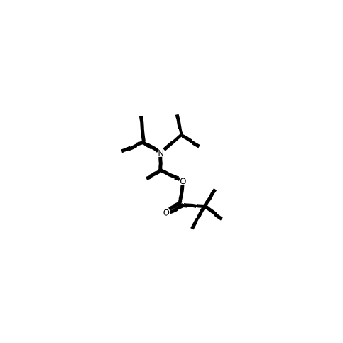 CC(C)N(C(C)C)C(C)OC(=O)C(C)(C)C